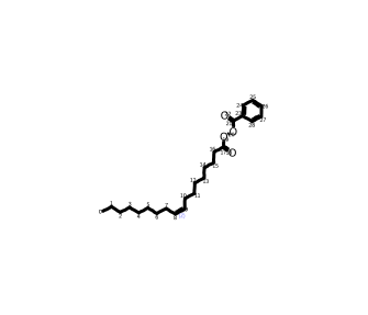 CCCCCCCC/C=C\CCCCCCCC(=O)OOC(=O)c1ccccc1